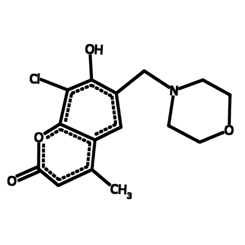 Cc1cc(=O)oc2c(Cl)c(O)c(CN3CCOCC3)cc12